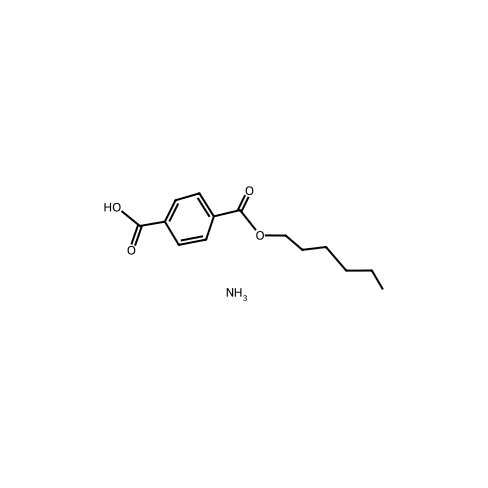 CCCCCCOC(=O)c1ccc(C(=O)O)cc1.N